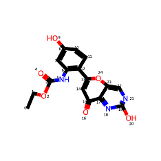 CCOC(=O)Nc1cc(O)ccc1-c1cc(=O)c2nc(O)ncc2o1